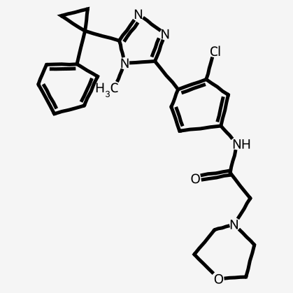 Cn1c(-c2ccc(NC(=O)CN3CCOCC3)cc2Cl)nnc1C1(c2ccccc2)CC1